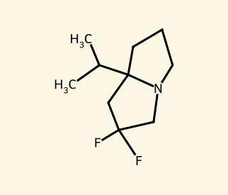 CC(C)C12CCCN1CC(F)(F)C2